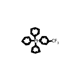 FC(F)(F)c1ccc([PH](c2ccccc2)(c2ccccc2)c2ccccc2)cc1